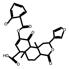 CC12CCC3C(=O)OC(c4ccoc4)CC3(C)C1C(=O)C(OC(=O)c1ccccc1Cl)=CC2C(=O)O